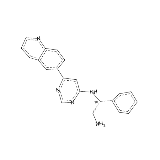 NC[C@H](Nc1cc(-c2ccc3ncccc3c2)ncn1)c1ccccc1